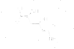 NCC[C@H](O)C[C@H](N)C(=O)O